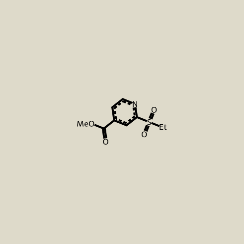 CCS(=O)(=O)c1cc(C(=O)OC)ccn1